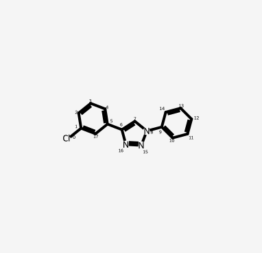 Clc1cccc(-c2cn(-c3ccccc3)nn2)c1